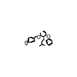 C=C[C@H](Oc1ccccc1)[C@@H](CCC(C)C)C(C)OCc1ccc(OC)cc1